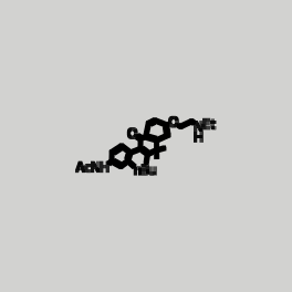 CCCCc1cc(NC(C)=O)ccc1C1=C(C)C(C)(C)c2cc(OCCNCC)ccc2C1=O